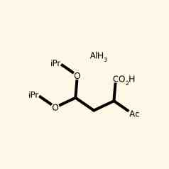 CC(=O)C(CC(OC(C)C)OC(C)C)C(=O)O.[AlH3]